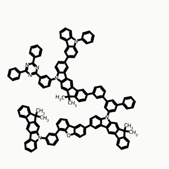 CC1(C)c2ccccc2-c2cc3c4ccccc4n(-c4cccc(-c5cccc6c5oc5ccc(-c7ccc8c(c7)c7cc9c(cc7n8-c7cc(-c8ccccc8)cc(-c8cccc(-c%10ccc%11c(c%10)-c%10cc%12c%13cc(-c%14ccc%15c(c%14)c%14ccccc%14n%15-c%14ccccc%14)ccc%13n(-c%13cccc(-c%14nc(-c%15ccccc%15)nc(-c%15ccccc%15)n%14)c%13)c%12cc%10C%11(C)C)c8)c7)C(C)(C)c7ccccc7-9)cc56)c4)c3cc21